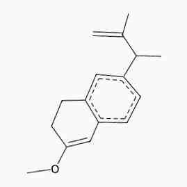 C=C(C)C(C)c1ccc2c(c1)CCC(OC)=C2